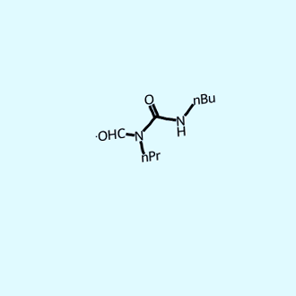 CCCCNC(=O)N([C]=O)CCC